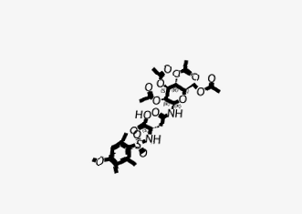 COc1cc(C)c(S(=O)(=O)N[C@@H](CC(=O)N[C@@H]2O[C@H](COC(C)=O)[C@@H](OC(C)=O)[C@H](OC(C)=O)[C@H]2OC(C)=O)C(=O)O)c(C)c1C